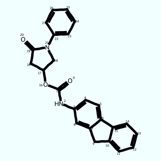 O=C(Nc1ccc2c(c1)Cc1ccccc1-2)OC1CC(=O)N(c2ccccc2)C1